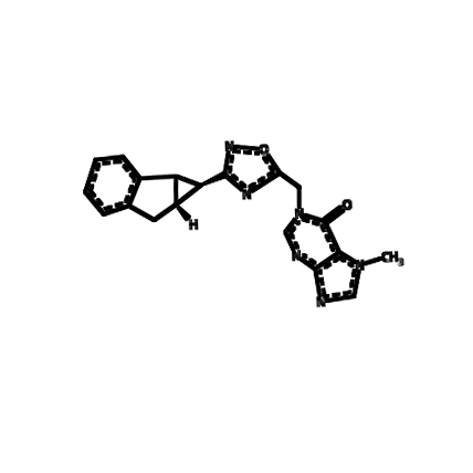 Cn1cnc2ncn(Cc3nc([C@@H]4C5c6ccccc6C[C@H]54)no3)c(=O)c21